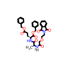 [2H]N(C(=O)COCCN1C(=O)c2ccccc2C1=O)[C@@H](C)C(=O)N[C@@H](CCC(=O)OCc1ccccc1)C(=O)OCc1ccccc1